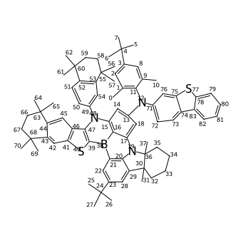 Cc1cc(C(C)(C)C)cc(C)c1N(c1cc2c3c(c1)N1c4c(cc(C(C)(C)C)cc4C4(C)CCCCC14C)B3c1sc3cc4c(cc3c1N2c1ccc2c(c1)C(C)(C)CCC2(C)C)C(C)(C)CCC4(C)C)c1ccc2c(c1)sc1ccccc12